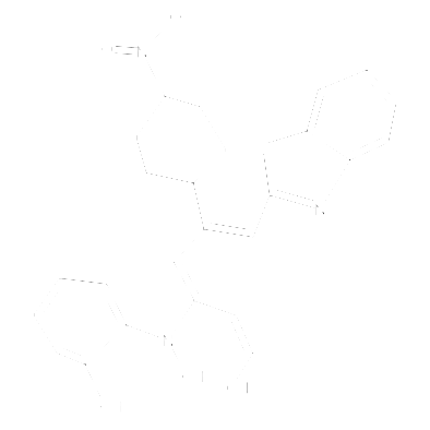 C\C=C/C(=C\C(=C\c1nc2ccccc2s1)C1CCC([N+](=O)[O-])CC1)N(C)c1ccccc1C